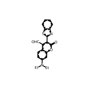 CCN(CC)c1ccc2c(C=O)c(-c3nc4ccccc4s3)c(=O)oc2c1